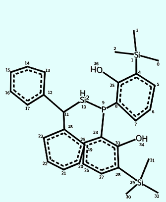 C[Si](C)(C)c1cccc(P([SiH2]C(c2ccccc2)c2ccccc2)c2cccc([Si](C)(C)C)c2O)c1O